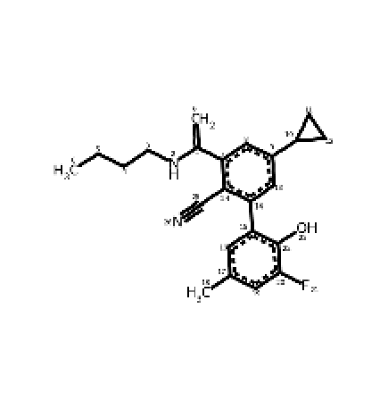 C=C(NCCCC)c1cc(C2CC2)cc(-c2cc(C)cc(F)c2O)c1C#N